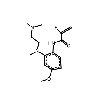 C=C(F)C(=O)Nc1ccc(OC)cc1N(C)CCN(C)C